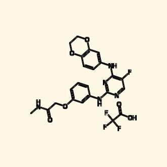 CNC(=O)COc1cccc(Nc2ncc(F)c(Nc3ccc4c(c3)OCCO4)n2)c1.O=C(O)C(F)(F)F